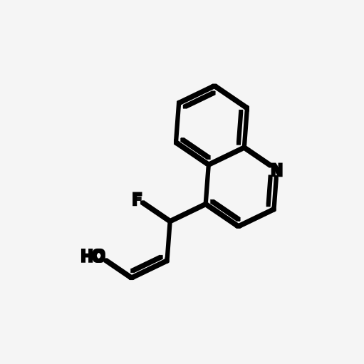 O/C=C\C(F)c1ccnc2ccccc12